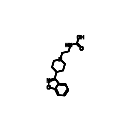 O=C(O)NCCN1CCC(c2noc3ccccc23)CC1